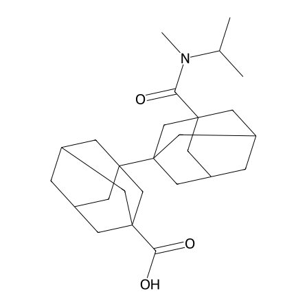 CC(C)N(C)C(=O)C12CC3CC(C1)CC(C14CC5CC(CC(C(=O)O)(C5)C1)C4)(C3)C2